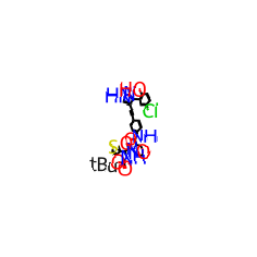 CC(C)(C)OC(=O)NC(C(=O)N1CCOCC1C(=O)Nc1ccc(C#Cc2c[nH]nc2-c2cc(Cl)ccc2O)cc1)c1ccsc1